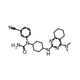 CN(C)c1nc(NC2CCC(N(C(N)=O)c3cccc(C#N)c3)CC2)nc2c1CCCC2